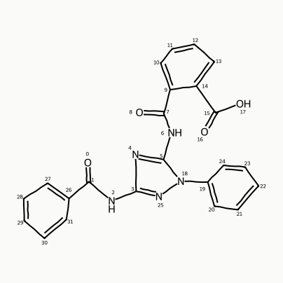 O=C(Nc1nc(NC(=O)c2ccccc2C(=O)O)n(-c2ccccc2)n1)c1ccccc1